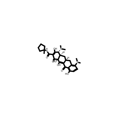 CN(C)c1ccc(O)c2c1C[C@@H]1C[C@@H]3[C@@H](N(C)C)C(O)=C(C(=O)NC4(C)CCCC4)C(=O)[C@]3(O)C(O)=C1C2=O